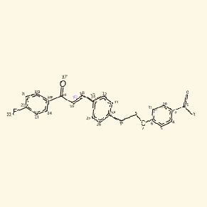 C=C(C)c1ccc(OCCc2ccc(/C=C/C(=O)c3ccc(F)cc3)cc2)cc1